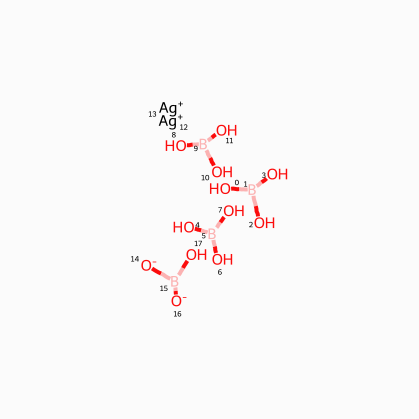 OB(O)O.OB(O)O.OB(O)O.[Ag+].[Ag+].[O-]B([O-])O